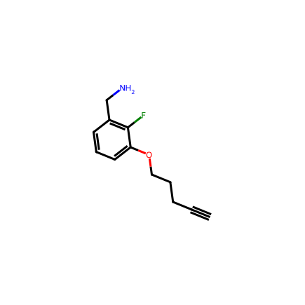 C#CCCCOc1cccc(CN)c1F